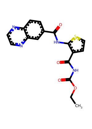 CCOC(=O)NC(=O)c1ccsc1NC(=O)c1ccc2nccnc2c1